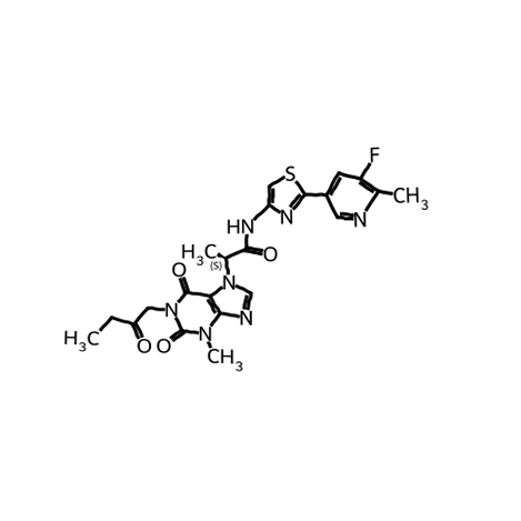 CCC(=O)Cn1c(=O)c2c(ncn2[C@@H](C)C(=O)Nc2csc(-c3cnc(C)c(F)c3)n2)n(C)c1=O